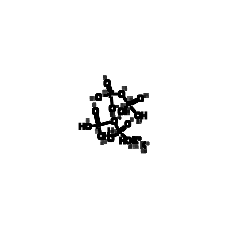 O=P(O)(O)OP(=O)(O)O.O=P([O-])([O-])OP(=O)(O)O.[K+].[K+]